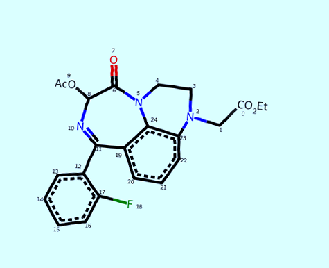 CCOC(=O)CN1CCN2C(=O)C(OC(C)=O)N=C(c3ccccc3F)c3cccc1c32